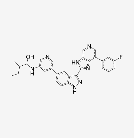 CCC(C)C(O)Nc1cncc(-c2ccc3[nH]nc(-c4nc5c(-c6cccc(F)c6)cncc5[nH]4)c3c2)c1